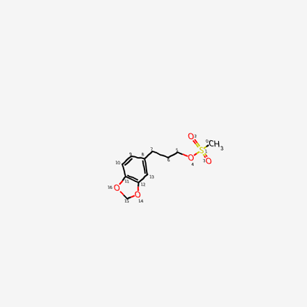 CS(=O)(=O)OCCCc1ccc2c(c1)OCO2